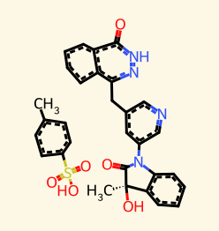 C[C@]1(O)C(=O)N(c2cncc(Cc3n[nH]c(=O)c4ccccc34)c2)c2ccccc21.Cc1ccc(S(=O)(=O)O)cc1